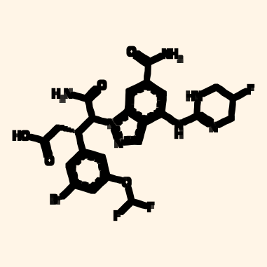 NC(=O)c1cc(NC2=NCC(F)CN2)c2cnn(C(C(N)=O)[C@@H](CC(=O)O)c3cc(Br)cc(OC(F)F)c3)c2c1